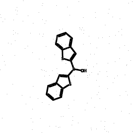 OB(c1cc2ccccc2s1)c1cc2ccccc2s1